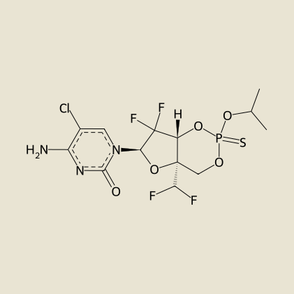 CC(C)OP1(=S)OC[C@@]2(C(F)F)O[C@@H](n3cc(Cl)c(N)nc3=O)C(F)(F)[C@@H]2O1